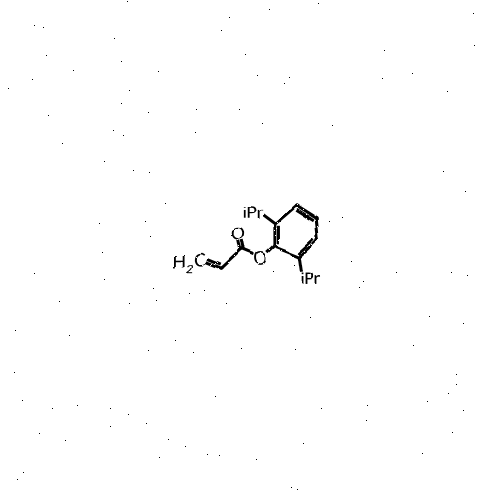 C=CC(=O)Oc1c(C(C)C)cccc1C(C)C